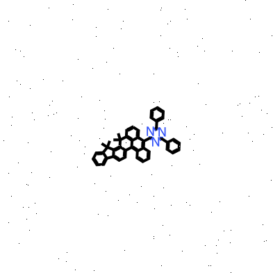 CC1(C)c2ccccc2-c2ccc3c(c21)C(C)(C)c1cccc2c(-c4nc(-c5ccccc5)nc(-c5ccccc5)n4)c4ccccc4c-3c12